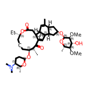 CC[C@H]1CCC[C@H](O[C@H]2CC[C@H](N(C)C)[C@@H](C)O2)[C@@H](C)C(=O)C2=C[C@@H]3[C@@H](C=C(C)[C@@H]4C[C@H](O[C@@H]5O[C@@H](C)[C@H](OC)[C@@H](O)[C@H]5OC)C[C@H]34)[C@@H]2CC(=O)O1